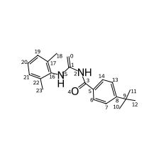 C=C(NC(=O)c1ccc(C(C)(C)C)cc1)Nc1c(C)cccc1C